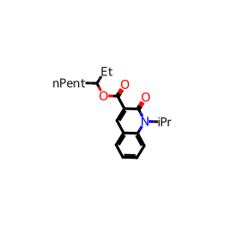 CCCCCC(CC)OC(=O)c1cc2ccccc2n(C(C)C)c1=O